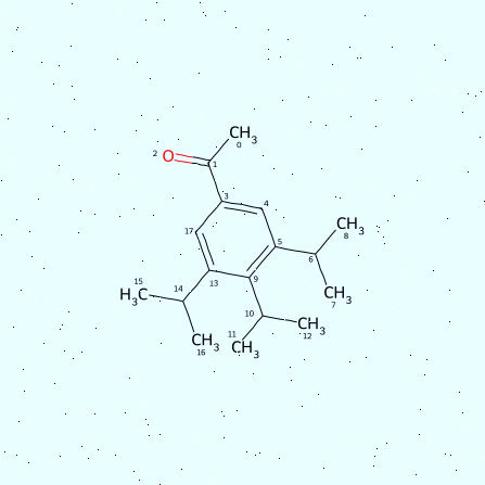 CC(=O)c1cc(C(C)C)c(C(C)C)c(C(C)C)c1